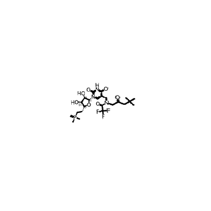 C=P(C)(C)CC[C@H]1O[C@@H](n2cc(CN(CC(=O)CC(C)(C)C)C(=O)C(F)(F)F)c(=O)[nH]c2=O)[C@H](O)[C@@H]1O